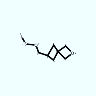 ISOCC1CC2(COC2)C1